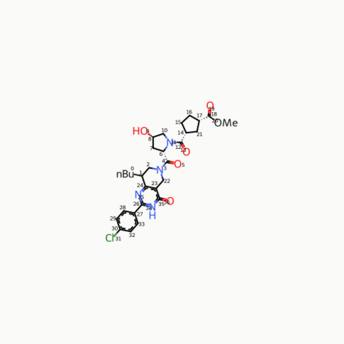 CCCCC1CN(C(=O)[C@@H]2C[C@@H](O)CN2C(=O)[C@@H]2CC[C@H](C(=O)OC)C2)Cc2c1nc(-c1ccc(Cl)cc1)[nH]c2=O